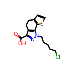 O=C(O)c1nn(CCCCCCl)c2c1CCc1ccsc1-2